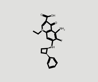 CCn1cc(C(=O)O)c(=O)c2c(N)c(F)c(N[C@@H]3CC[C@@H]3c3ccccc3)cc21